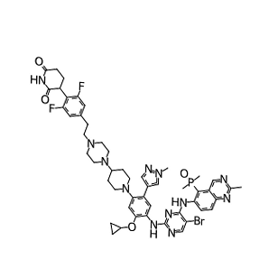 Cc1ncc2c(P(C)(C)=O)c(Nc3nc(Nc4cc(-c5cnn(C)c5)c(N5CCC(N6CCN(CCc7cc(F)c(C8CCC(=O)NC8=O)c(F)c7)CC6)CC5)cc4OC4CC4)ncc3Br)ccc2n1